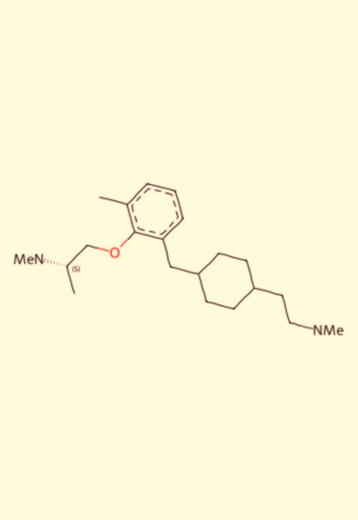 CNCCC1CCC(Cc2cccc(C)c2OC[C@H](C)NC)CC1